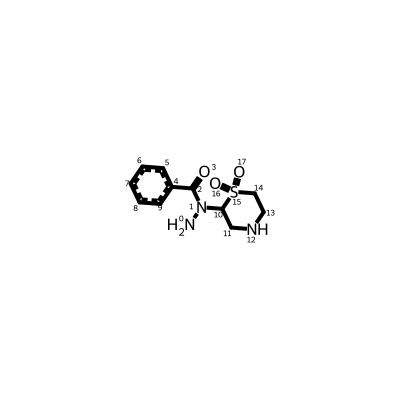 NN(C(=O)c1ccccc1)C1CNCCS1(=O)=O